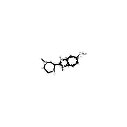 COc1ccc2[nH]c(C3CN(C)CC[N]3)nc2c1